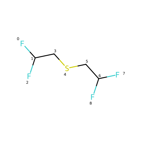 FC(F)CSCC(F)F